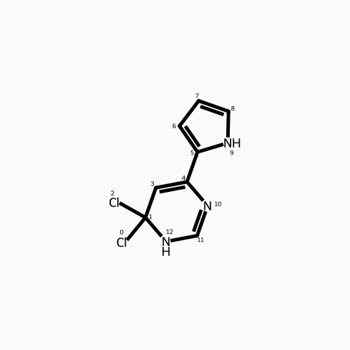 ClC1(Cl)C=C(c2ccc[nH]2)N=CN1